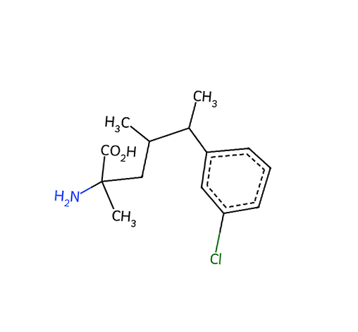 CC(CC(C)(N)C(=O)O)C(C)c1cccc(Cl)c1